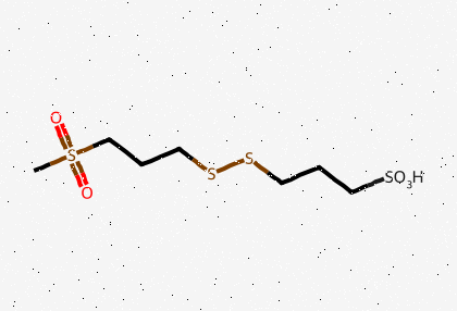 CS(=O)(=O)CCCSSCCCS(=O)(=O)O